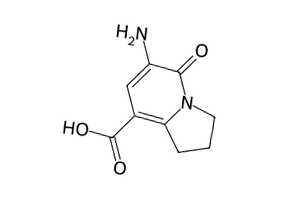 Nc1cc(C(=O)O)c2n(c1=O)CCC2